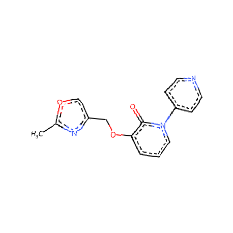 Cc1nc(COc2cccn(-c3ccncc3)c2=O)co1